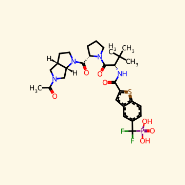 CC(=O)N1C[C@@H]2CCN(C(=O)[C@@H]3CCCN3C(=O)[C@@H](NC(=O)c3cc4cc(C(F)(F)P(=O)(O)O)ccc4s3)C(C)(C)C)[C@@H]2C1